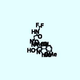 CCCCc1nc(O)c(-c2nnc(CC(=O)NCC(F)F)o2)c(O)c1-c1c(OC)cccc1OC